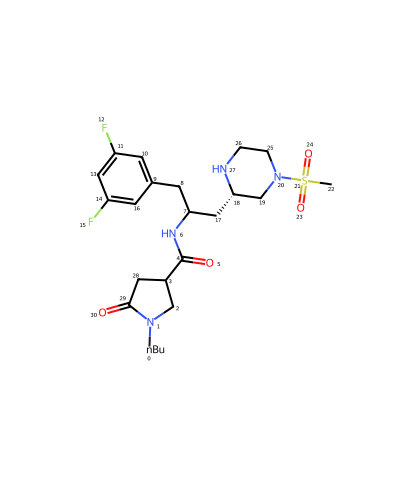 CCCCN1CC(C(=O)NC(Cc2cc(F)cc(F)c2)C[C@H]2CN(S(C)(=O)=O)CCN2)CC1=O